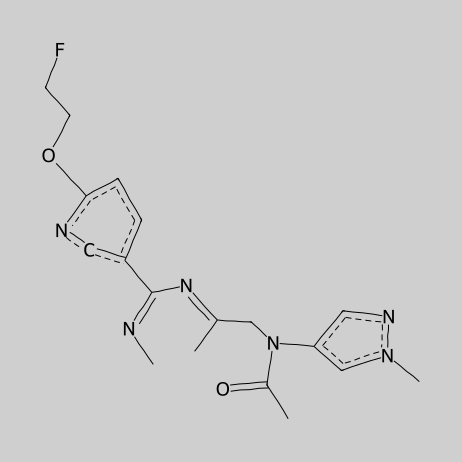 C/N=C(\N=C(/C)CN(C(C)=O)c1cnn(C)c1)c1ccc(OCCF)nc1